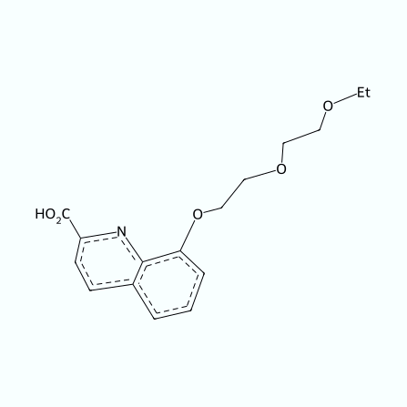 CCOCCOCCOc1cccc2ccc(C(=O)O)nc12